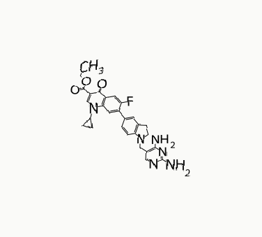 CCOC(=O)c1cn(C2CC2)c2cc(-c3ccc4c(c3)CCN4Cc3cnc(N)nc3N)c(F)cc2c1=O